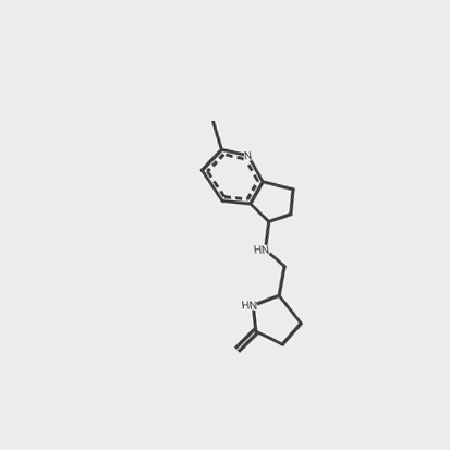 C=C1CCC(CNC2CCc3nc(C)ccc32)N1